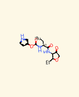 CCC1OCC(=O)C1NC(=O)[C@H](CC(C)(C)C)NC(=O)Oc1cc[nH]c1